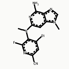 CCc1cc(C#N)nc(F)c1N(C)c1cc2c(ncn2C)c(N)n1